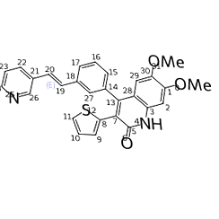 COc1cc2[nH]c(=O)c(-c3cccs3)c(-c3cccc(/C=C/c4cccnc4)c3)c2cc1OC